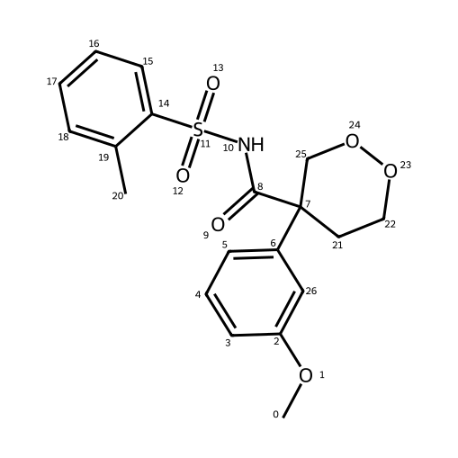 COc1cccc(C2(C(=O)NS(=O)(=O)c3ccccc3C)CCOOC2)c1